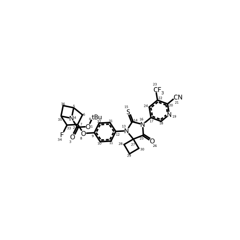 CC(C)(C)OC(=O)N1C2CC(Oc3ccc(N4C(=S)N(c5cnc(C#N)c(C(F)(F)F)c5)C(=O)C45CCC5)cc3)C(F)C1C2